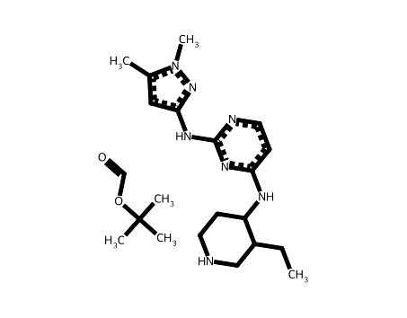 CC(C)(C)OC=O.CCC1CNCCC1Nc1ccnc(Nc2cc(C)n(C)n2)n1